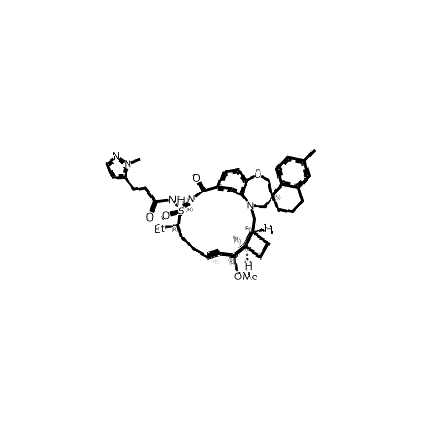 CC[C@@H]1CC/C=C/[C@H](OC)[C@@H]2CC[C@H]2CN2C[C@@]3(CCCc4cc(C)ccc43)COc3ccc(cc32)C(=O)N=[S@]1(=O)NC(=O)CCc1ccnn1C